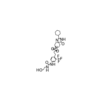 O=C(NCCO)Nc1ccc(CCS(=O)(=O)N2CCC3(CC2)N=C(C2CCCCC2)NC3=O)c(C(F)(F)F)c1